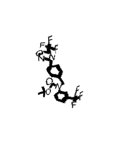 CC(C)(C)OC(=O)N(Cc1ccc(-c2noc(C(F)(F)F)n2)cc1)c1cccc(C(F)(F)F)c1